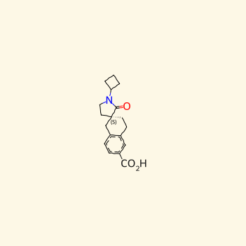 O=C(O)c1ccc2c(c1)CC[C@@]1(CCN(C3CCC3)C1=O)C2